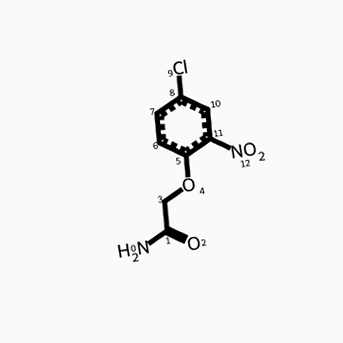 NC(=O)COc1ccc(Cl)cc1[N+](=O)[O-]